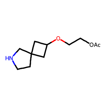 CC(=O)OCCOC1CC2(CCNC2)C1